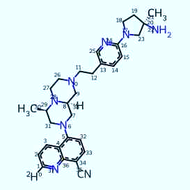 [2H]c1ccc2c(N3C[C@@H]4CN(CCc5ccc(N6CC[C@@](C)(N)C6)nc5)CCN4[C@H](C)C3)ccc(C#N)c2n1